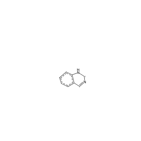 [C]1N=[C]c2ccccc2N1